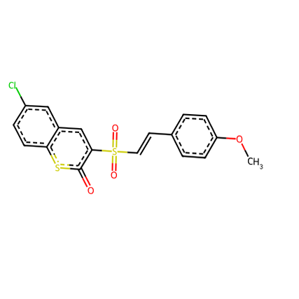 COc1ccc(/C=C/S(=O)(=O)c2cc3cc(Cl)ccc3sc2=O)cc1